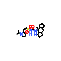 CC(C)N1CCC[C@@H]1/C=C\S(=O)(=O)NC(=O)NC1(C)C2CCCC2CC2CCCC21